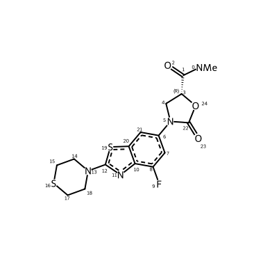 CNC(=O)[C@H]1CN(c2cc(F)c3nc(N4CCSCC4)sc3c2)C(=O)O1